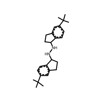 CC(C)(C)c1ccc2c(c1)CCC2NNC1CCc2cc(C(C)(C)C)ccc21